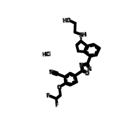 Cl.N#Cc1cc(-c2nc(-c3cccc4c3CC[C@@H]4NCCO)no2)ccc1OCC(F)F